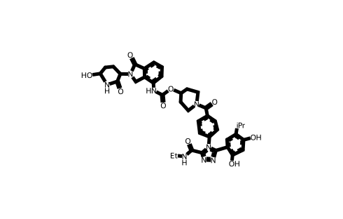 CCNC(=O)c1nnc(-c2cc(C(C)C)c(O)cc2O)n1-c1ccc(C(=O)N2CCC(OC(=O)Nc3cccc4c3CN(C3CCC(O)NC3=O)C4=O)CC2)cc1